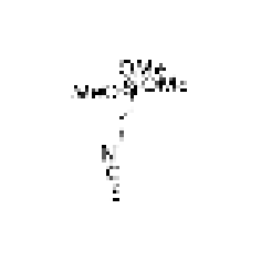 CO[Si](CCCN=C=S)(OC)OC